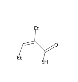 CCC=C(CC)C(=O)S